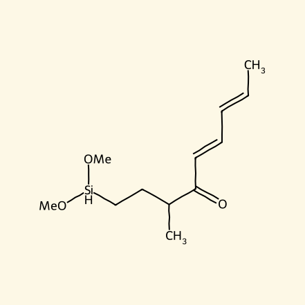 C/C=C/C=C/C(=O)C(C)CC[SiH](OC)OC